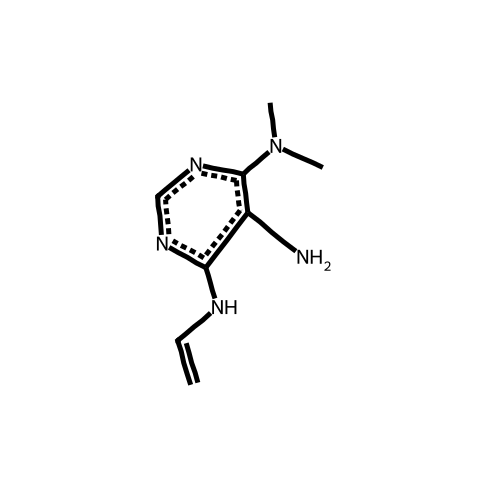 C=CNc1ncnc(N(C)C)c1N